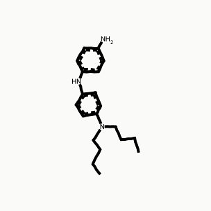 CCCCN(CCCC)c1ccc(Nc2ccc(N)cc2)cc1